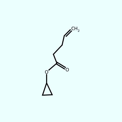 C=CCCC(=O)OC1CC1